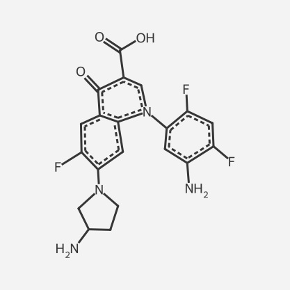 Nc1cc(-n2cc(C(=O)O)c(=O)c3cc(F)c(N4CCC(N)C4)cc32)c(F)cc1F